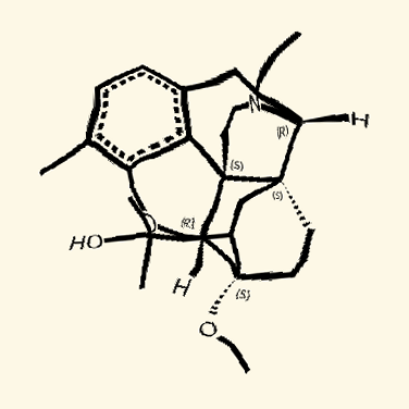 CO[C@@]12CC[C@@]3(CC1C(C)(C)O)[C@H]1Cc4ccc(C)c5c4[C@@]3(CCN1C)[C@H]2O5